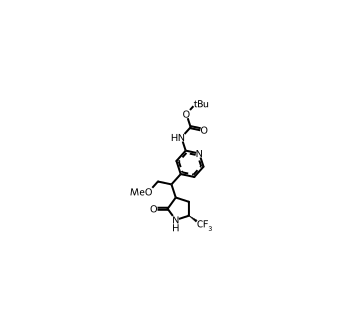 COCC(c1ccnc(NC(=O)OC(C)(C)C)c1)C1C[C@@H](C(F)(F)F)NC1=O